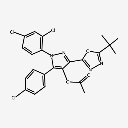 CC(=O)Oc1c(-c2nnc(C(C)(C)C)o2)nn(-c2ccc(Cl)cc2Cl)c1-c1ccc(Cl)cc1